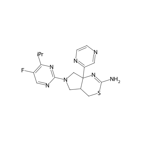 CC(C)c1nc(N2CC3CSC(N)=NC3(c3cnccn3)C2)ncc1F